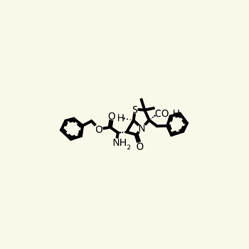 CC1(C)S[C@@H]2[C@@H](C(N)C(=O)OCc3ccccc3)C(=O)N2[C@@]1(Cc1ccccc1)C(=O)O